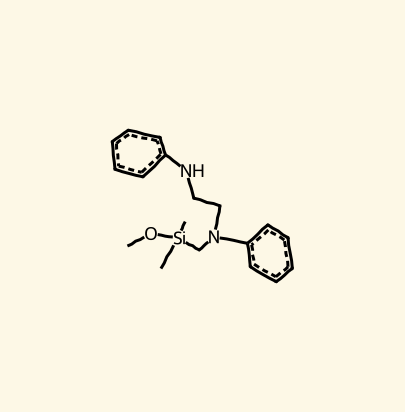 CO[Si](C)(C)CN(CCNc1ccccc1)c1ccccc1